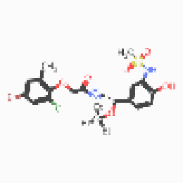 CC[Si](CC)(CC)O[C@H](CNC(=O)COc1c(C)cc(Br)cc1Cl)c1ccc(O)c(NS(C)(=O)=O)c1